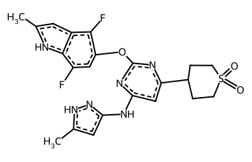 Cc1cc(Nc2cc(C3CCS(=O)(=O)CC3)nc(Oc3cc(F)c4[nH]c(C)cc4c3F)n2)n[nH]1